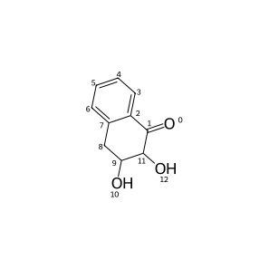 O=C1c2ccccc2CC(O)C1O